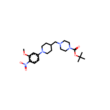 COc1cc(N2CCC(CN3CCN(C(=O)OC(C)(C)C)CC3)CC2)ccc1[N+](=O)[O-]